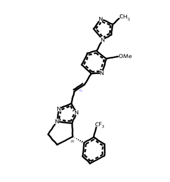 COc1nc(/C=C/c2nc3n(n2)CC[C@H]3c2ccccc2C(F)(F)F)ccc1-n1cnc(C)c1